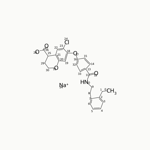 CCc1ccccc1CCNC(=O)c1ccc(Oc2cc3c(cc2Cl)C(C(=O)[O-])CCO3)cc1.[Na+]